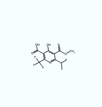 COC(=O)c1c(C(F)F)nc(C(F)(F)F)c(C(=O)O)c1O